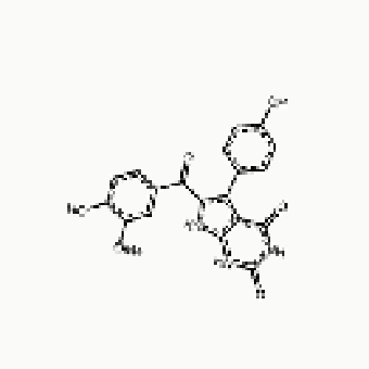 COc1cc(C(=O)c2[nH]c3[nH]c(=O)[nH]c(=O)c3c2-c2ccc(O)cc2)ccc1O